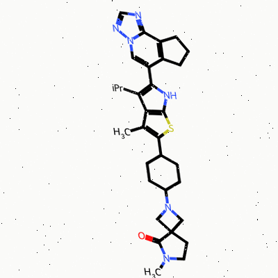 Cc1c(C2CCC(N3CC4(CCN(C)C4=O)C3)CC2)sc2[nH]c(-c3cn4ncnc4c4c3CCC4)c(C(C)C)c12